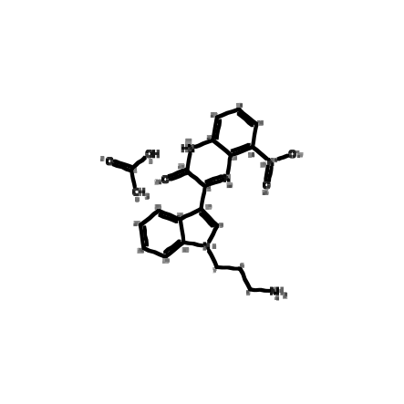 CC(=O)O.NCCCn1cc(-c2nc3c([N+](=O)[O-])cccc3[nH]c2=O)c2ccccc21